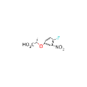 C[C@@H](Oc1ccc(F)c([N+](=O)[O-])c1)C(=O)O